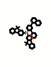 CC1(C)c2ccccc2-c2ccc(N(c3ccc4c(c3)C(C)(C)c3ccccc3-4)c3ccc(-c4cccc5ccccc45)cc3-c3ccccc3)cc21